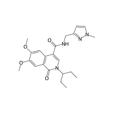 CCC(CC)n1cc(C(=O)NCc2ccn(C)n2)c2cc(OC)c(OC)cc2c1=O